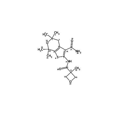 CC1(C)Cc2c(sc(NC(=O)C3(C)COC3)c2C(N)=O)C(C)(C)O1